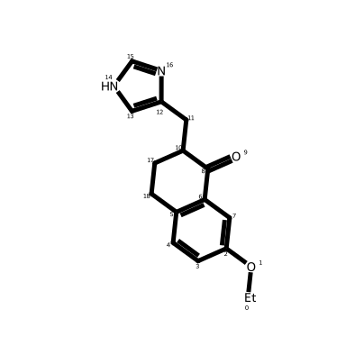 CCOc1ccc2c(c1)C(=O)C(Cc1c[nH]cn1)CC2